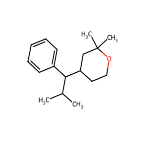 CC(C)C(c1ccccc1)C1CCOC(C)(C)C1